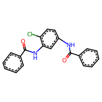 O=C(Nc1ccc(Cl)c(NC(=O)c2ccccc2)c1)c1ccccc1